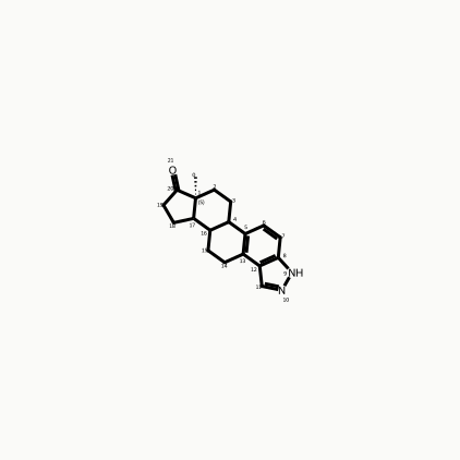 C[C@]12CCC3c4ccc5[nH]ncc5c4CCC3C1CCC2=O